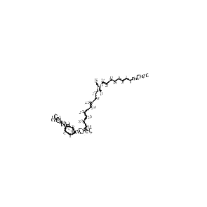 C1CCCC1.CCCCCCCCCCCCCCCCCC[N+](C)(C)CCCCCCCCCCCCCCCCCC.Cl.N.[Cl-]